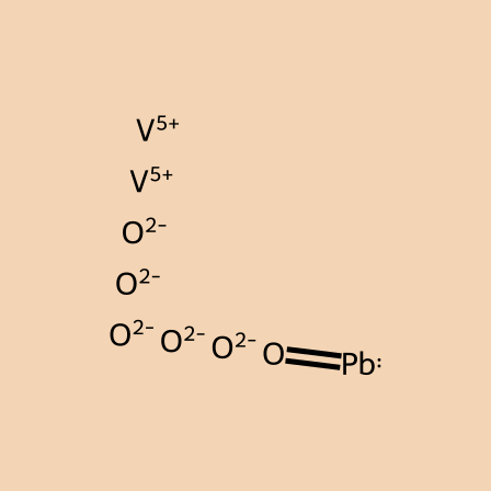 [O-2].[O-2].[O-2].[O-2].[O-2].[O]=[Pb].[V+5].[V+5]